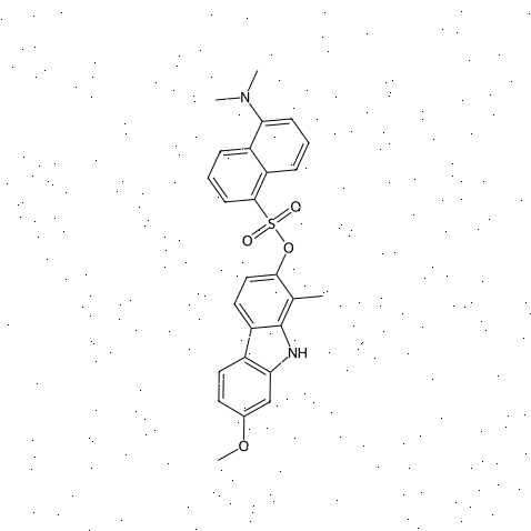 COc1ccc2c(c1)[nH]c1c(C)c(OS(=O)(=O)c3cccc4c(N(C)C)cccc34)ccc12